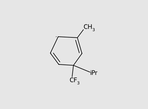 CC1=CC(C(C)C)(C(F)(F)F)C=C[CH]1